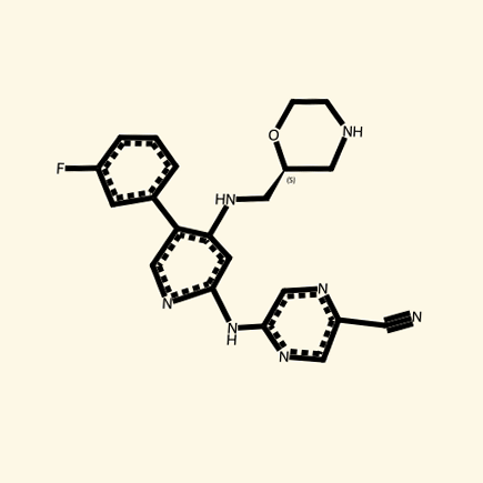 N#Cc1cnc(Nc2cc(NC[C@@H]3CNCCO3)c(-c3cccc(F)c3)cn2)cn1